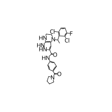 CC(c1c(Cl)ccc(F)c1Cl)N1CCNC2=C1C=C(C(=O)Nc1ccc(C(=O)N3CCCC3)cc1)NN2